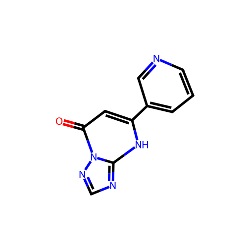 O=c1cc(-c2cccnc2)[nH]c2ncnn12